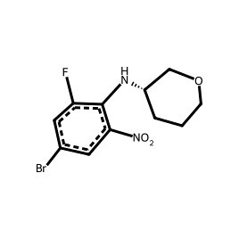 O=[N+]([O-])c1cc(Br)cc(F)c1N[C@H]1CCCOC1